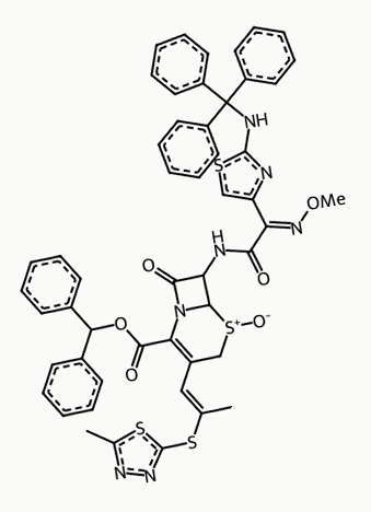 CO/N=C(/C(=O)NC1C(=O)N2C(C(=O)OC(c3ccccc3)c3ccccc3)=C(/C=C(\C)Sc3nnc(C)s3)C[S+]([O-])C12)c1csc(NC(c2ccccc2)(c2ccccc2)c2ccccc2)n1